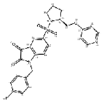 O=C1C(=O)N(Cc2ccc(F)cc2)c2ccc(S(=O)(=O)N3CCC[C@H]3COc3ccncn3)cc21